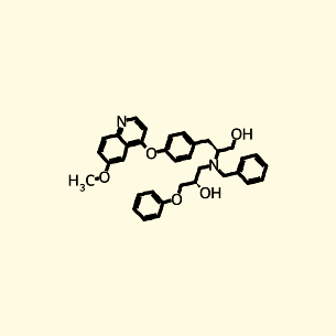 COc1ccc2nccc(Oc3ccc(C[C@@H](CO)N(Cc4ccccc4)C[C@H](O)COc4ccccc4)cc3)c2c1